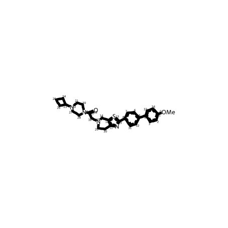 COc1ccc(-c2ccc(-c3nc4c(s3)CN(CC(=O)N3CCN(C5CCC5)CC3)CC4)cc2)cc1